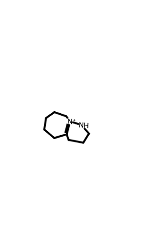 C1CCC2=[N+](CC1)NCCC2